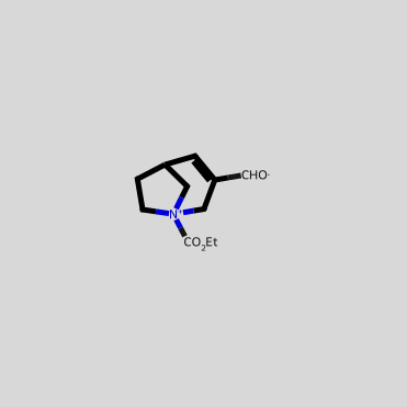 CCOC(=O)[N+]12CCC(C=C([C]=O)C1)C2